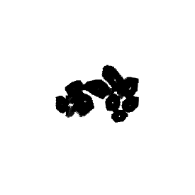 c1ccc(-c2ccc(N(c3ccc(-c4cccc5c4c4cccc6c4n5-c4ccccc4O6)cc3)c3cccc4c3sc3c(-c5ccccc5)cccc34)cc2)cc1